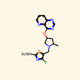 CC(=O)Nc1nc(F)c(CN2CC(Oc3ncnc4cccnc34)CC2C)s1